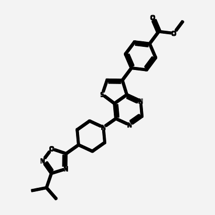 COC(=O)c1ccc(-c2csc3c(N4CCC(c5nc(C(C)C)no5)CC4)ncnc23)cc1